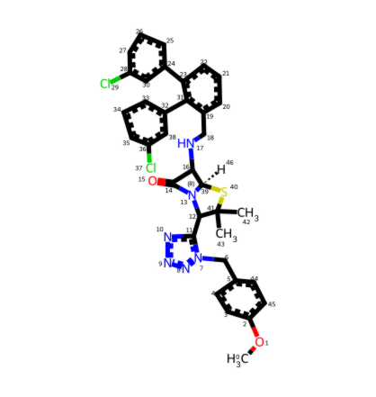 COc1ccc(Cn2nnnc2C2N3C(=O)C(NCc4cccc(-c5cccc(Cl)c5)c4-c4cccc(Cl)c4)[C@H]3SC2(C)C)cc1